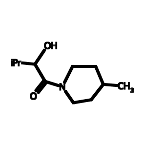 CC1CCN(C(=O)C(O)C(C)C)CC1